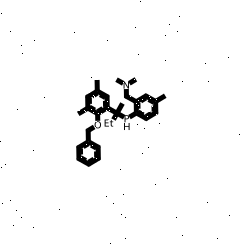 CCC(C)(Pc1ccc(C)cc1CN(C)C)c1cc(C)cc(C)c1OCc1ccccc1